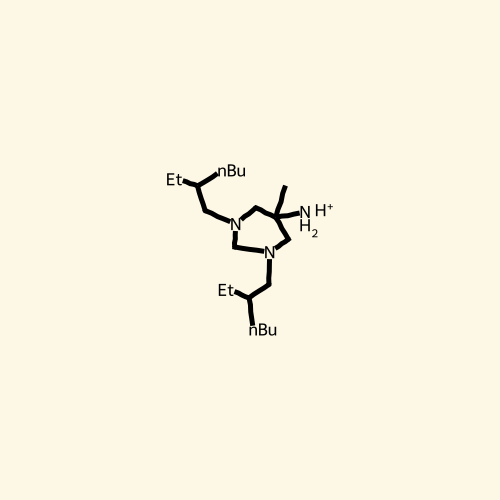 CCCCC(CC)CN1CN(CC(CC)CCCC)CC(C)(N)C1.[H+]